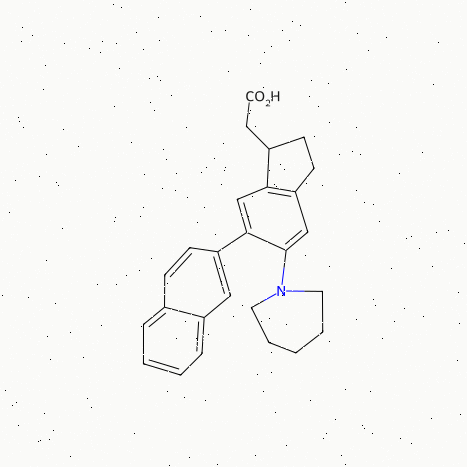 O=C(O)CC1CCc2cc(N3CCCCC3)c(-c3ccc4ccccc4c3)cc21